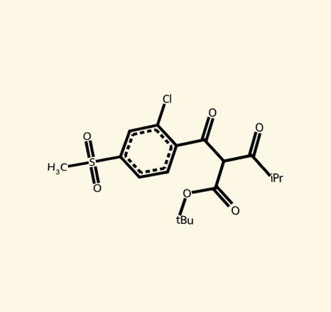 CC(C)C(=O)C(C(=O)OC(C)(C)C)C(=O)c1ccc(S(C)(=O)=O)cc1Cl